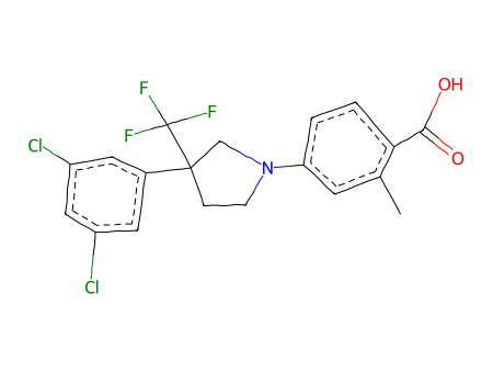 Cc1cc(N2CCC(c3cc(Cl)cc(Cl)c3)(C(F)(F)F)C2)ccc1C(=O)O